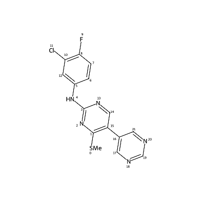 CSc1nc(Nc2ccc(F)c(Cl)c2)ncc1-c1cncnc1